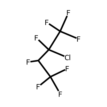 FC(C(F)(F)F)C(F)(Cl)C(F)(F)F